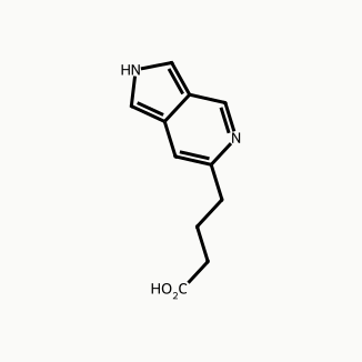 O=C(O)CCCc1cc2c[nH]cc2cn1